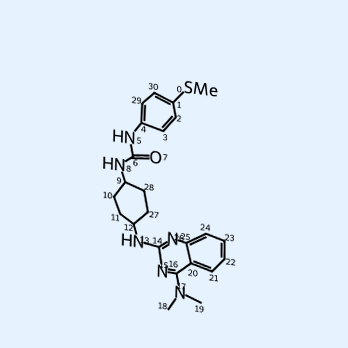 CSc1ccc(NC(=O)NC2CCC(Nc3nc(N(C)C)c4ccccc4n3)CC2)cc1